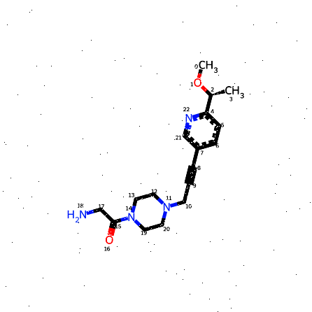 CO[C@@H](C)c1ccc(C#CCN2CCN(C(=O)CN)CC2)cn1